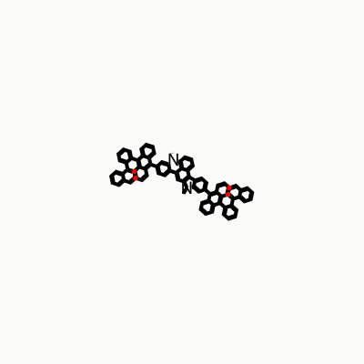 CN1c2cc(-c3c4ccccc4c(-c4ccccc4-c4cccc5ccccc45)c4ccccc34)ccc2-c2cc3c(c4cccc1c24)c1ccc(-c2c4ccccc4c(-c4ccccc4-c4cccc5ccccc45)c4ccccc24)cc1n3C